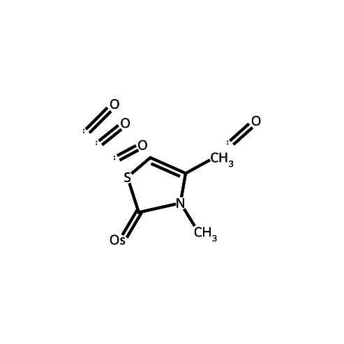 Cc1cs[c](=[Os])n1C.[C]=O.[C]=O.[C]=O.[C]=O